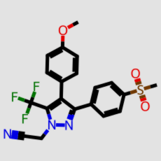 COc1ccc(-c2c(-c3ccc(S(C)(=O)=O)cc3)nn(CC#N)c2C(F)(F)F)cc1